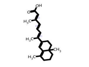 CC1=C2C=C(/C(C)=C/C=C/C(C)=C/C(=O)O)CCC2(C)CCC1